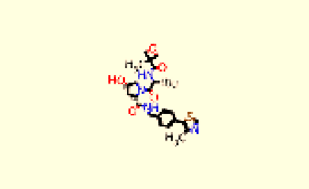 Cc1ncsc1-c1ccc(CNC(=O)[C@@H]2C[C@@H](O)CN2C(=O)C(NC(=O)C2(C)COC2)C(C)(C)C)cc1